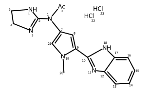 CC(=O)N(C1=NCCN1)c1cc(-c2nc3ccccc3[nH]2)n(C)c1.Cl.Cl